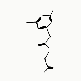 O=C(O)COC(=O)Cc1cc(Cl)nc(Cl)c1